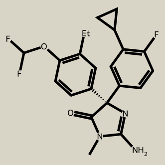 CCc1cc([C@]2(c3ccc(F)c(C4CC4)c3)N=C(N)N(C)C2=O)ccc1OC(F)F